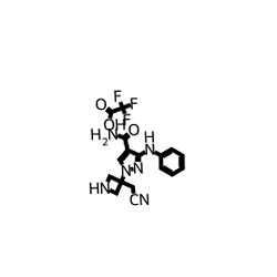 N#CCC1(n2cc(C(N)=O)c(Nc3ccccc3)n2)CNC1.O=C(O)C(F)(F)F